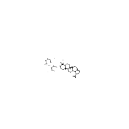 C=C(C)C1CCC2(C(=O)O)CCC3(C)C(CCC4C5(C)CCC(OC6OCC(O)C(O)C6OC6OC(C)C(O)C(O)C6O)C(C)(CO)C5CCC43C)C12